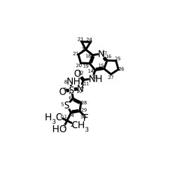 CC(C)(O)c1sc(S(N)(=O)=NC(=O)Nc2c3c(nc4c2CCC42CC2)CCC3)cc1F